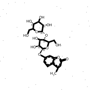 Cc1cc(=O)oc2cc(O[C@@H]3OC(CO)[C@@H](O[C@@H]4OC(CO)[C@H](O)C(O)[C@@H]4O)C(O)[C@@H]3O)ccc12